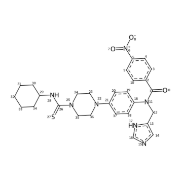 O=C(c1ccc([N+](=O)[O-])cc1)N(Cc1cnc[nH]1)c1ccc(N2CCN(C(=S)NC3CCCCC3)CC2)cc1